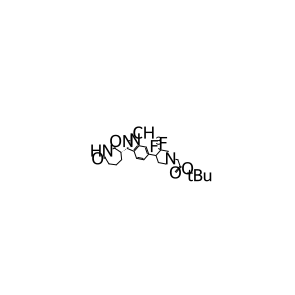 Cn1nc([C@@H]2CCCC(=O)NC2=O)c2ccc(C3CCN(CC(=O)OC(C)(C)C)CC3(F)F)cc21